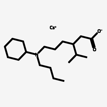 CCCCN(CCCC(CC(=O)[O-])C(C)C)C1CCCCC1.[Cs+]